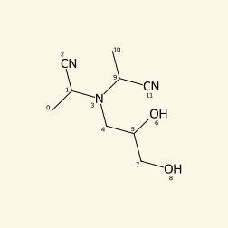 CC(C#N)N(CC(O)CO)C(C)C#N